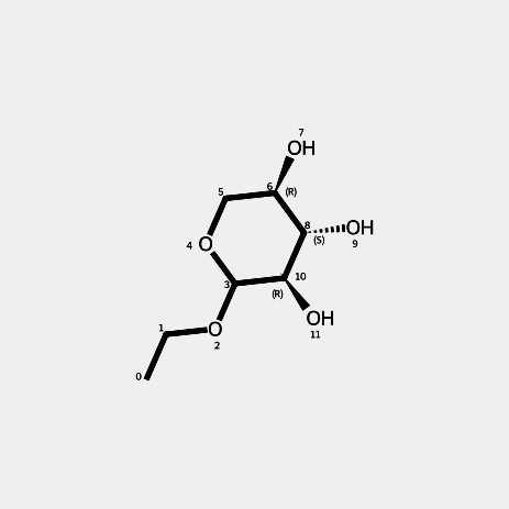 CCOC1OC[C@@H](O)[C@H](O)[C@H]1O